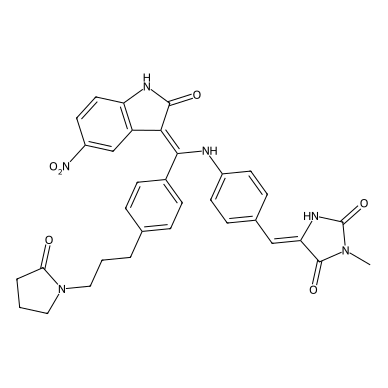 CN1C(=O)N/C(=C\c2ccc(N/C(=C3\C(=O)Nc4ccc([N+](=O)[O-])cc43)c3ccc(CCCN4CCCC4=O)cc3)cc2)C1=O